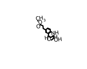 CCOC(=O)CCc1ccc2c(c1)[C@H]1C[C@@H](N2)[C@H](O)CO1